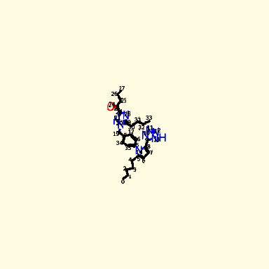 CCCCCc1ccc(-c2nnn[nH]2)n1-c1ccc(Cn2nc(C(=O)CCC)nc2CCCC)cc1